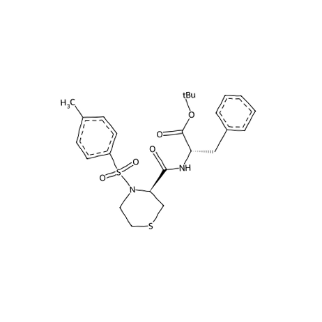 Cc1ccc(S(=O)(=O)N2CCSC[C@@H]2C(=O)N[C@@H](Cc2ccccc2)C(=O)OC(C)(C)C)cc1